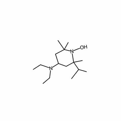 CCN(CC)C1CC(C)(C)N(O)C(C)(C(C)C)C1